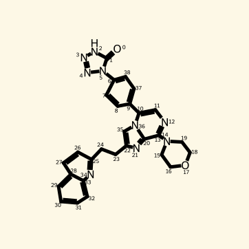 O=c1[nH]nnn1-c1ccc(-c2cnc(N3CCOCC3)c3nc(CCc4ccc5ccccc5n4)cn23)cc1